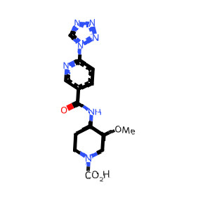 COC1CN(C(=O)O)CCC1NC(=O)c1ccc(-n2cnnn2)nc1